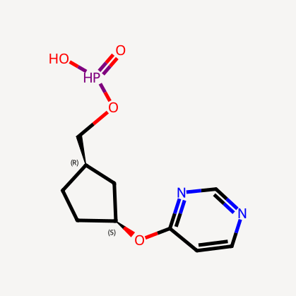 O=[PH](O)OC[C@@H]1CC[C@H](Oc2ccncn2)C1